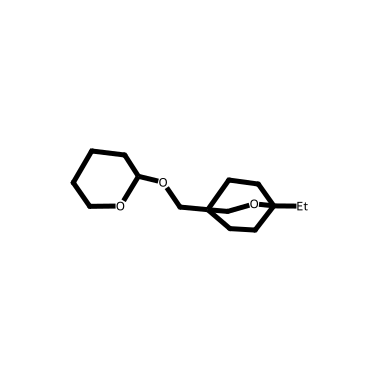 CCC12CCC(COC3CCCCO3)(CC1)CO2